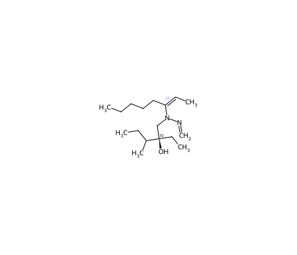 C=NN(C[C@](O)(CC)C(C)CC)/C(=C\C)CCCCC